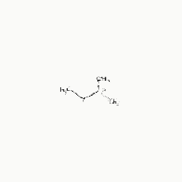 [CH2][C@@H](C)[CH]C